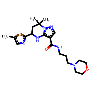 Cc1cnc(C2CC(C)(C)n3ncc(C(=O)NCCCN4CCOCC4)c3N2)s1